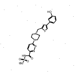 CC(C)(C)S(=O)(=O)NC(=O)c1ccc(N2CCN(Cc3cc(-c4cccc(O)c4)cs3)CC2)nn1